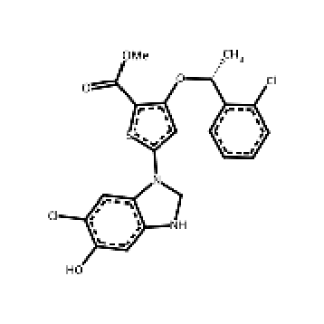 COC(=O)c1sc(N2CNc3cc(O)c(Cl)cc32)cc1O[C@H](C)c1ccccc1Cl